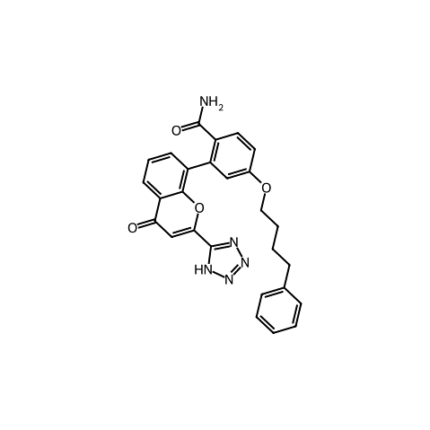 NC(=O)c1ccc(OCCCCc2ccccc2)cc1-c1cccc2c(=O)cc(-c3nnn[nH]3)oc12